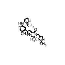 Cc1cnc(Nc2ccnn2C)cc1-c1cc2n(c1)C[C@H](C)N(Cc1cnn(C)n1)C2=O